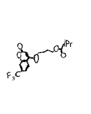 CC(C)C(=O)OCCCCOc1cc(=O)oc2cc(C(F)(F)F)ccc12